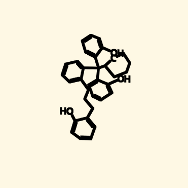 Oc1ccccc1CCCc1ccccc1C(c1ccccc1O)(c1ccccc1O)C1CCCCC1